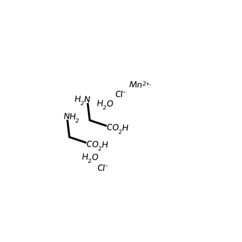 NCC(=O)O.NCC(=O)O.O.O.[Cl-].[Cl-].[Mn+2]